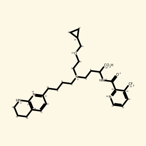 O=C(NC(CCN(CCCCc1ccc2c(n1)NCCC2)CCOCC1CC1)C(=O)O)c1ncccc1C(F)(F)F